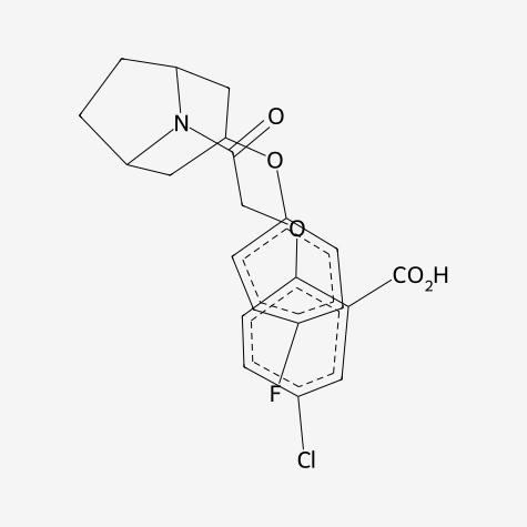 O=C(O)c1cc(Cl)ccc1OCC(=O)N1C2CCC1CC(Oc1ccc(F)cc1)C2